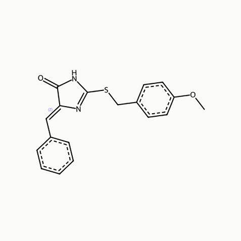 COc1ccc(CSC2=N/C(=C\c3ccccc3)C(=O)N2)cc1